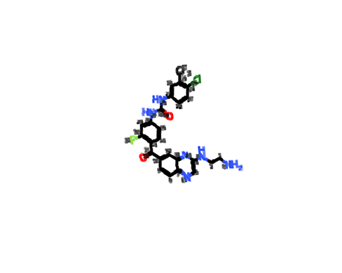 NCCNc1cnc2ccc(C(=O)c3ccc(NC(=O)Nc4ccc(Cl)c(C(F)(F)F)c4)cc3F)cc2n1